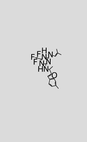 CC(C)=CN=c1nc(NC(C)c2cc3ccc(C)cc3o2)nc(C(F)(F)F)[nH]1